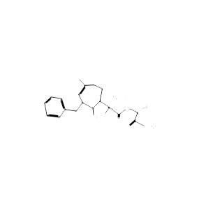 COC(=O)[C@@H](NC(=O)[C@@](NC(C)=O)(C(C)C)C1CCC(C(C)(C)C)=CC(Cc2ccccc2)C1O)C(C)C